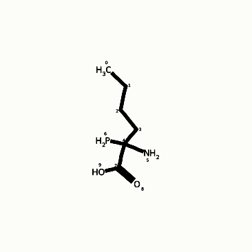 CCCCC(N)(P)C(=O)O